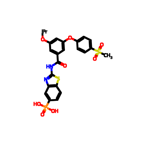 CC(C)Oc1cc(Oc2ccc(S(C)(=O)=O)cc2)cc(C(=O)Nc2nc3cc(P(=O)(O)O)ccc3s2)c1